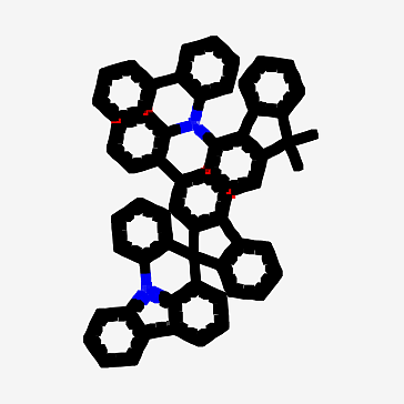 CC1(C)c2ccccc2-c2c(N(c3ccccc3-c3ccccc3)c3ccccc3-c3ccc4c(c3)C3(c5ccccc5-4)c4ccccc4-n4c5ccccc5c5cccc3c54)cccc21